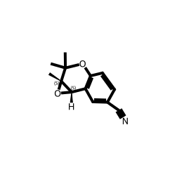 CC1(C)Oc2ccc(C#N)cc2[C@@H]2O[C@@]21C